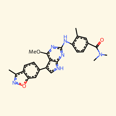 COc1nc(Nc2ccc(C(=O)N(C)C)cc2C)nc2[nH]cc(-c3ccc4c(C)noc4c3)c12